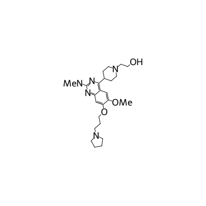 CNc1nc(C2CCN(CCO)CC2)c2cc(OC)c(OCCCN3CCCC3)cc2n1